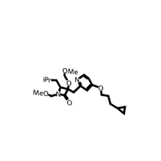 COCOC1(Cc2cc(OCCCC3CC3)ccn2)C(=O)N(COC)C1CC(C)C